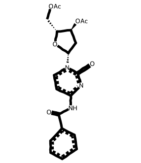 CC(=O)OC[C@H]1O[C@@H](n2ccc(NC(=O)c3ccccc3)nc2=O)C[C@@H]1OC(C)=O